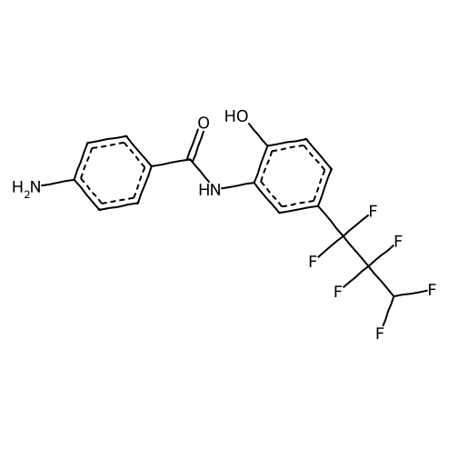 Nc1ccc(C(=O)Nc2cc(C(F)(F)C(F)(F)C(F)F)ccc2O)cc1